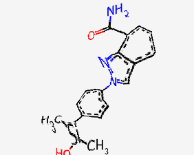 C[Si](C)(O)c1ccc(-n2cc3cccc(C(N)=O)c3n2)cc1